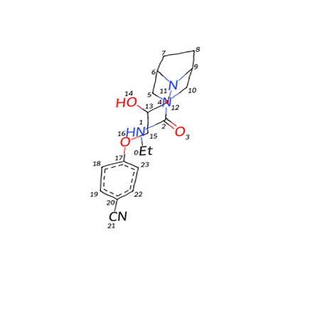 CCNC(=O)N1CC2CCC(C1)N2CC(O)COc1ccc(C#N)cc1